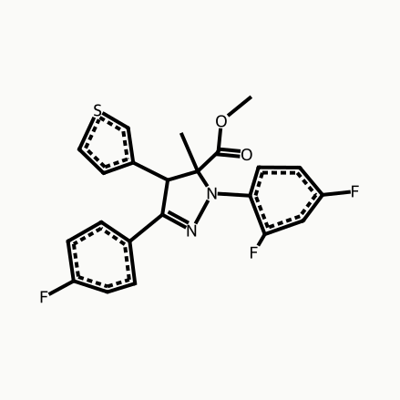 COC(=O)C1(C)C(c2ccsc2)C(c2ccc(F)cc2)=NN1c1ccc(F)cc1F